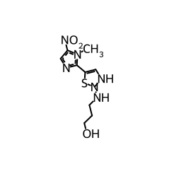 Cn1c([N+](=O)[O-])cnc1C1=CNN(NCCCO)S1